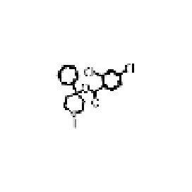 O=C(OC1(c2ccccc2)CCNCC1)c1ccc(Cl)cc1Cl